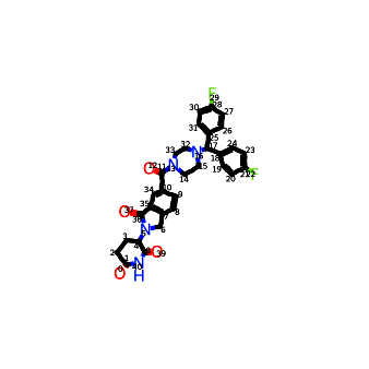 O=C1CCC(N2Cc3ccc(C(=O)N4CCN(C(c5ccc(F)cc5)c5ccc(F)cc5)CC4)cc3C2=O)C(=O)N1